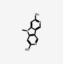 Cn1c2cc(C(C)(C)C)ncc2c2cnc(C(C)(C)C)cc21